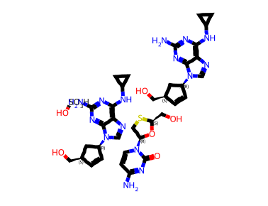 Nc1ccn([C@H]2CS[C@@H](CO)O2)c(=O)n1.Nc1nc(NC2CC2)c2ncn([C@H]3C=C[C@@H](CO)C3)c2n1.Nc1nc(NC2CC2)c2ncn([C@H]3C=C[C@@H](CO)C3)c2n1.O=S(=O)(O)O